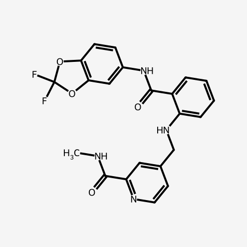 CNC(=O)c1cc(CNc2ccccc2C(=O)Nc2ccc3c(c2)OC(F)(F)O3)ccn1